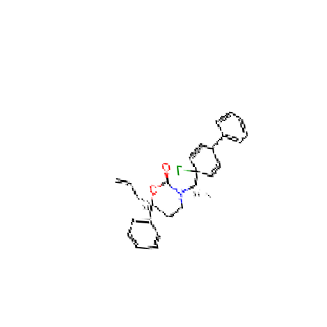 C=CC[C@@]1(c2ccccc2)CCN([C@@H](C)C2(F)C=CC(c3ccccc3)C=C2)C(=O)O1